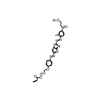 C=CC(=O)OOOCOc1ccc(N=Nc2cc3sc(N=Nc4ccc(N(CC)CCOC(C)=O)cc4C)nc3s2)cc1